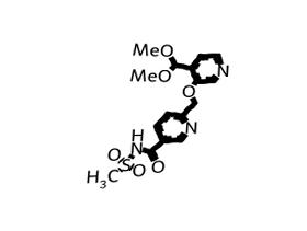 COC(OC)c1ccncc1OCc1ccc(C(=O)NS(C)(=O)=O)cn1